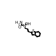 NC(=O)N(O)CC=Cc1cc2ccccc2s1